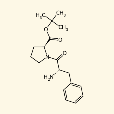 CC(C)(C)OC(=O)[C@@H]1CCCN1C(=O)[C@@H](N)Cc1ccccc1